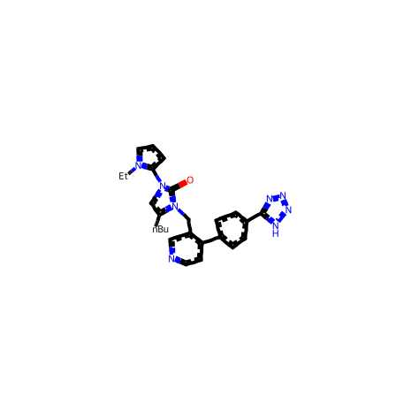 CCCCc1cn(-c2cccn2CC)c(=O)n1Cc1cnccc1-c1ccc(-c2nnn[nH]2)cc1